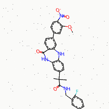 COc1cc(-c2ccc3c(c2)Nc2ccc(C(C)(C)C(=O)NCc4cc(F)ccc4F)cc2NC3=O)ccc1[N+](=O)[O-]